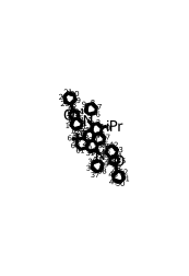 CC(C)c1cc(N(c2ccccc2)c2cccc3oc(-c4ccccc4)cc23)c2cc3c4c(cc(N(c5ccccc5)C5CC=Cc6oc(-c7ccccc7)cc65)c5ccc1c2c54)CCC3(C)C